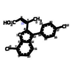 C/C(=C/C(=O)O)c1oc2c(Cl)cccc2c1-c1ccc(Cl)cc1